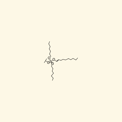 CCCCCCCCC=CO[Si](OCCCCCCC)(OCCCCCCC)OC(C)C